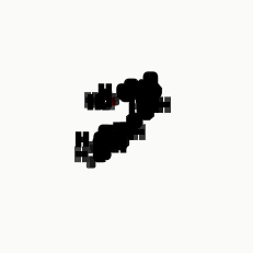 COC(=O)NC(C(=O)N1CCCC1c1ncc(-c2ccc(-c3ccc4[nH]c([C@@H]5CCCN6C(=O)CC[C@H](NC(=O)OC)C(=O)N56)nc4c3)cc2)[nH]1)C(C)C.Cl.Cl